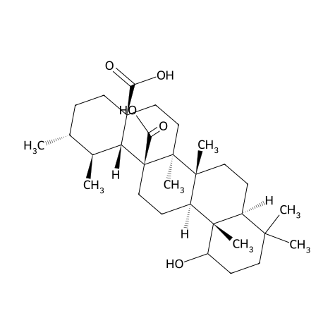 C[C@H]1[C@H](C)CC[C@]2(C(=O)O)CC[C@]3(C)[C@](C(=O)O)(CC[C@@H]4[C@@]5(C)C(O)CCC(C)(C)[C@@H]5CC[C@]43C)[C@H]12